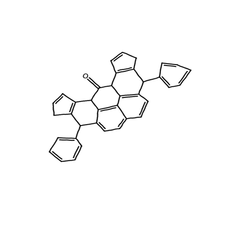 O=C1C2C3=C(CC=C3)C(c3ccccc3)c3ccc4ccc5c(c4c32)C1C1=C(CC=C1)C5c1ccccc1